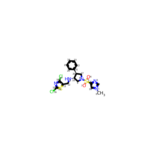 Cn1cnc(S(=O)(=O)N2C[C@H](NCc3sc(Cl)nc3Cl)[C@@H](c3ccccc3)C2)c1